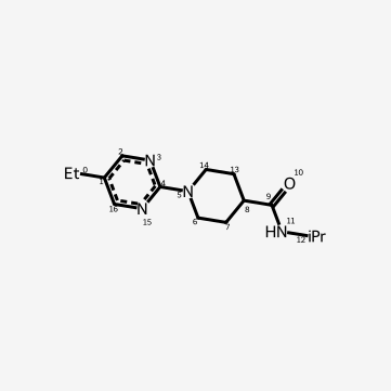 CCc1cnc(N2CCC(C(=O)NC(C)C)CC2)nc1